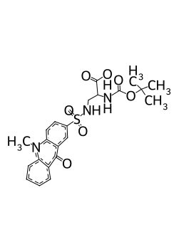 Cn1c2ccccc2c(=O)c2cc(S(=O)(=O)NCC(NC(=O)OC(C)(C)C)C(=O)O)ccc21